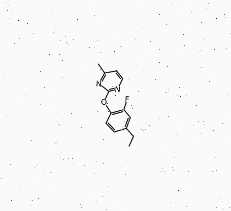 CCc1ccc(Oc2nccc(C)n2)c(F)c1